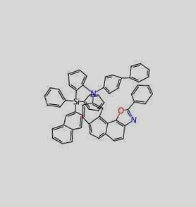 c1ccc(-c2ccc(N(c3ccc4ccc5ccc6nc(-c7ccccc7)oc6c5c4c3)c3ccccc3[Si](c3ccccc3)(c3ccccc3)c3ccc4ccccc4c3)cc2)cc1